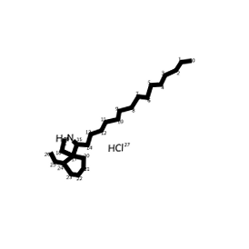 CCCCCCCCCCCCCCCC(N)C1(CC)CCCCC1CC.Cl